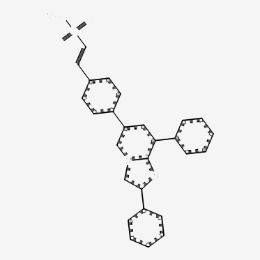 COS(=O)(=O)C=Cc1ccc(-c2cc(-c3ccccc3)c3nc(-c4ccccc4)cn3c2)cc1